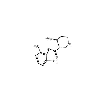 CCCCCN1CCNCC1C(=O)Nc1c(C)cccc1C